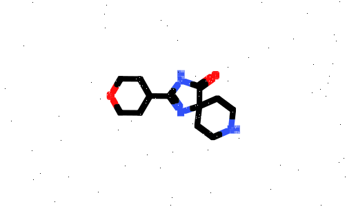 O=C1NC(C2CCOCC2)=NC12CCNCC2